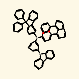 c1ccc(-c2cccc3cccc(-c4ccc(N(c5cccc(-n6c7ccccc7c7ccccc76)c5)c5ccc6c(c5)-c5ccccc5C6(c5ccccc5)c5ccccc5)cc4)c23)cc1